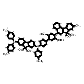 CCCCCCCCC1(CCCCCCCC)c2cc(N(c3ccc(C)cc3)c3ccc(C)cc3)ccc2-c2ccc(N(c3ccc(C)cc3)c3ccc(-c4cc(CCCCCC)c(-c5cc6c(c7ccccc57)-c5ccc(C)cc5C6(CCCCCCCC)CCCCCCCC)cc4CCCCCC)cc3)cc21